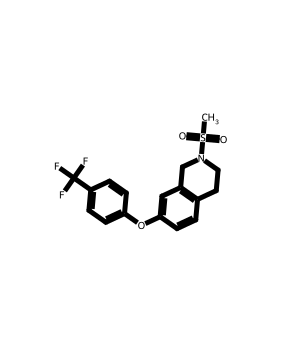 CS(=O)(=O)N1CCc2ccc(Oc3ccc(C(F)(F)F)cc3)cc2C1